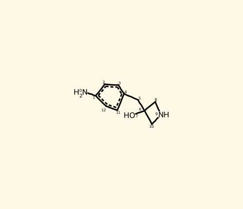 Nc1ccc(CC2(O)CNC2)cc1